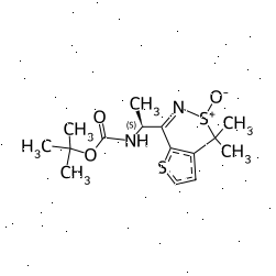 C[C@H](NC(=O)OC(C)(C)C)C1=N[S+]([O-])C(C)(C)c2ccsc21